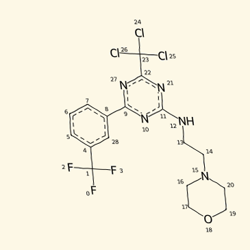 FC(F)(F)c1cccc(-c2nc(NCCN3CCOCC3)nc(C(Cl)(Cl)Cl)n2)c1